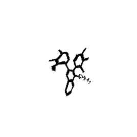 Cc1ccc(-c2cc3ccccc3c(P)c2-c2ccc(C)c(C)c2C)c(C)c1C